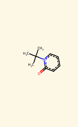 CC(C)(C)n1ccccc1=O